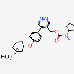 CN(C(=O)OCc1cnncc1-c1ccc(OC2CCC[C@H](C(=O)O)C2)cc1)C1CCCC1